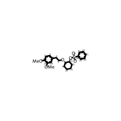 COc1ccc(CCO[C@@H]2CCCC[C@@H]2OS(=O)(=O)c2ccccc2)cc1OC